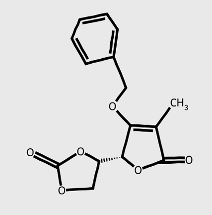 CC1=C(OCc2ccccc2)[C@@H](C2COC(=O)O2)OC1=O